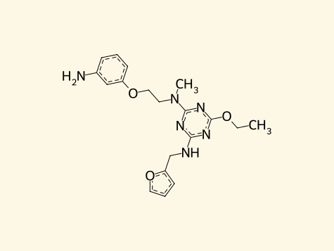 CCOc1nc(NCc2ccco2)nc(N(C)CCOc2cccc(N)c2)n1